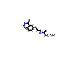 C=C(COC)NC/C=C/c1ccc2ncnc(C)c2c1